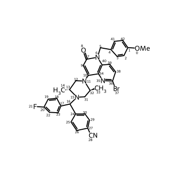 COc1ccc(Cn2c(=O)cc(N3C[C@@H](C)N(C(c4ccc(F)cc4)c4ccc(C#N)cc4)C[C@@H]3C)c3nc(Br)ccc32)cc1